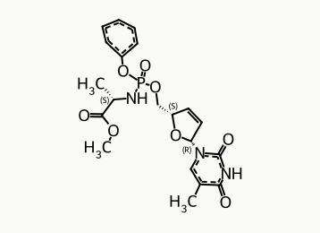 COC(=O)[C@H](C)NP(=O)(OC[C@@H]1C=C[C@H](n2cc(C)c(=O)[nH]c2=O)O1)Oc1ccccc1